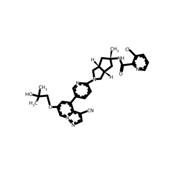 CC(C)(O)COc1cc(-c2ccc(N3C[C@@H]4C[C@](C)(NC(=O)c5ncccc5Cl)C[C@@H]4C3)nc2)c2c(C#N)cnn2c1